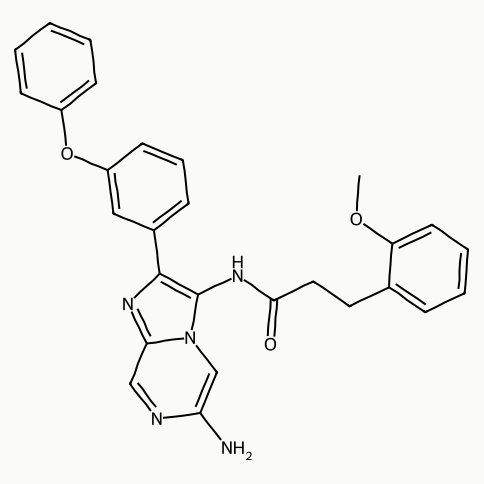 COc1ccccc1CCC(=O)Nc1c(-c2cccc(Oc3ccccc3)c2)nc2cnc(N)cn12